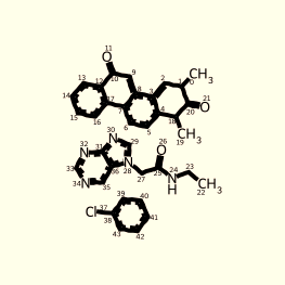 CC1C=c2c(ccc3c2=CC(=O)c2ccccc2-3)C(C)C1=O.CCNC(=O)Cn1cnc2ncncc21.Clc1ccccc1